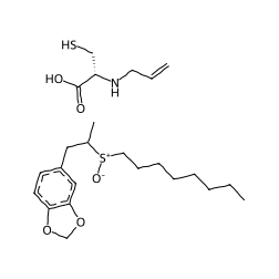 C=CCN[C@@H](CS)C(=O)O.CCCCCCCC[S+]([O-])C(C)Cc1ccc2c(c1)OCO2